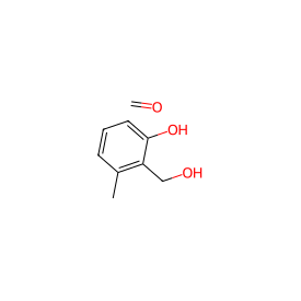 C=O.Cc1cccc(O)c1CO